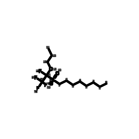 CCCCCCCCS(=O)(=O)C(F)(OCCC)C(F)(F)F